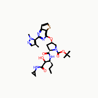 CCC[C@H](NC(=O)[C@@H]1C[C@@H](Oc2nc(-c3c(C)cnn3C)nc3ccsc23)CN1C(=O)OC(C)(C)C)C(O)C(=O)NC1CC1